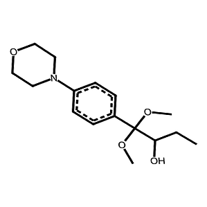 CCC(O)C(OC)(OC)c1ccc(N2CCOCC2)cc1